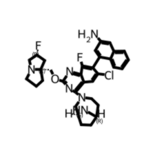 Nc1cc(-c2c(Cl)cc3c(N4CC[C@H]5CC[C@@H](C4)N5)nc(OC[C@]45CCCN4C[C@H](F)C5)nc3c2F)c2ccccc2c1